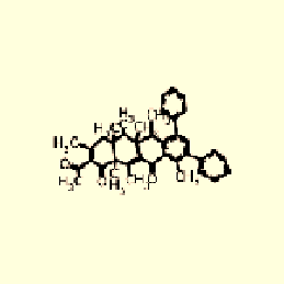 CC(=O)C1=C(C)CC2(C)C(C)C3(C)C(=C(C)C2(C)C1=O)C(=O)c1c(C)c(-c2ccccc2)cc(-c2ccccc2)c1C3C